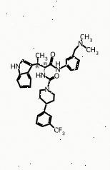 C[C@H](c1c[nH]c2ccccc12)[C@@H](NC(=O)N1CCC(c2cccc(C(F)(F)F)c2)CC1)C(=O)Nc1cccc(CN(C)C)c1